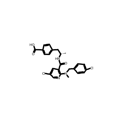 C[C@@H](Cc1ccc(C(=O)O)cc1)NC(=O)c1cc(Cl)cnc1N(C)Cc1ccc(Cl)cc1